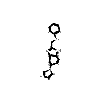 c1ccc(OCc2nc3cc(-n4ccnc4)ccc3[nH]2)cc1